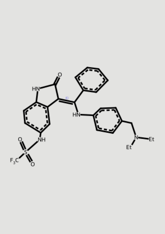 CCN(CC)Cc1ccc(N/C(=C2/C(=O)Nc3ccc(NS(=O)(=O)C(F)(F)F)cc32)c2ccccc2)cc1